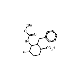 CC(C)(C)OC(=O)N[C@H]1C(Cc2ccccc2)N(C(=O)O)CC[C@@H]1F